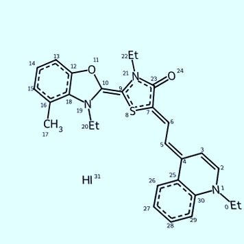 CCN1C=CC(=CC=c2sc(=C3Oc4cccc(C)c4N3CC)n(CC)c2=O)c2ccccc21.I